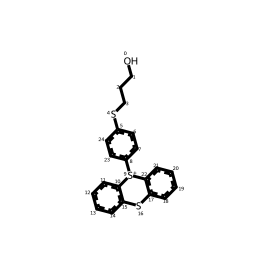 OCCCSc1ccc([S+]2c3ccccc3Sc3ccccc32)cc1